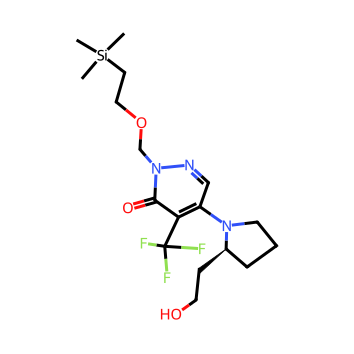 C[Si](C)(C)CCOCn1ncc(N2CCC[C@H]2CCO)c(C(F)(F)F)c1=O